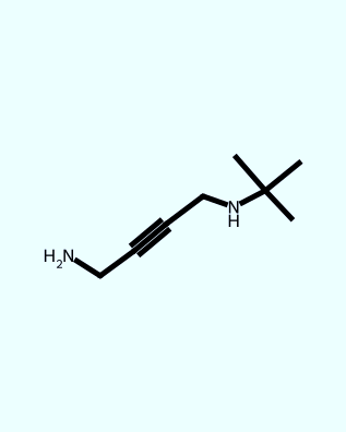 CC(C)(C)NCC#CCN